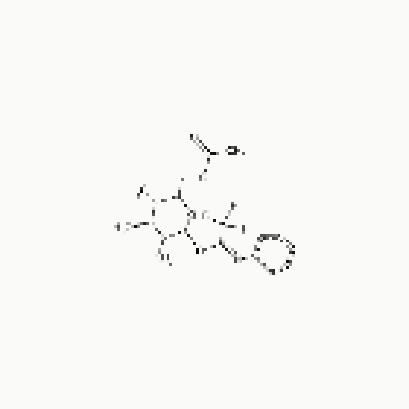 CC(=O)OCC1OC(O/C(=N/c2ccccc2)C(F)(F)F)C(C)[C@@H](C)[C@@H]1C